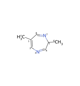 CC1=CN=CC(C)N=C1